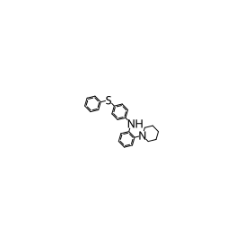 c1ccc(Sc2ccc(Nc3ccccc3N3CCCCC3)cc2)cc1